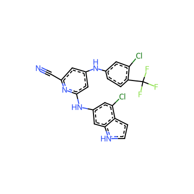 N#Cc1cc(Nc2ccc(C(F)(F)F)c(Cl)c2)cc(Nc2cc(Cl)c3cc[nH]c3c2)n1